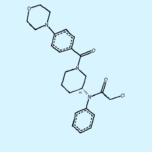 O=C(c1ccc(N2CCOCC2)cc1)N1CCC[C@@H](N(C(=O)CCl)c2ccccc2)C1